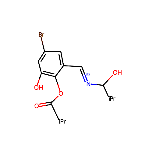 CC(C)C(=O)Oc1c(O)cc(Br)cc1/C=N/C(O)C(C)C